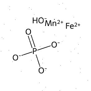 O=P([O-])([O-])[O-].[Fe+2].[Mn+2].[OH-]